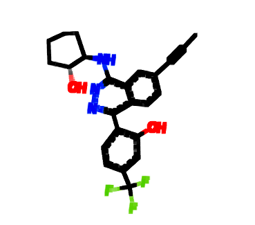 CC#Cc1ccc2c(-c3ccc(C(F)(F)F)cc3O)nnc(N[C@@H]3CCCC[C@H]3O)c2c1